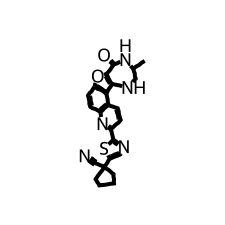 CC1CNc2c(oc3ccc4nc(-c5ncc(C6(C#N)CCCC6)s5)ccc4c23)C(=O)N1